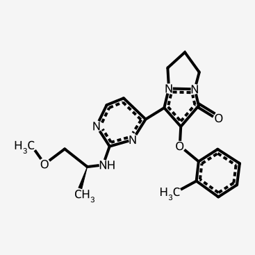 COC[C@H](C)Nc1nccc(-c2c(Oc3ccccc3C)c(=O)n3n2CCC3)n1